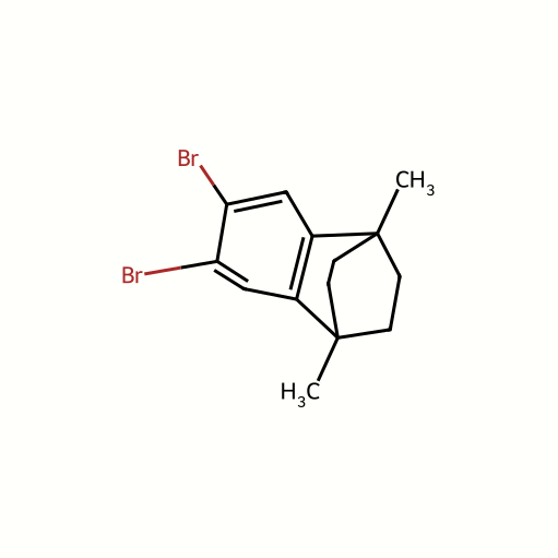 CC12CCC(C)(CC1)c1cc(Br)c(Br)cc12